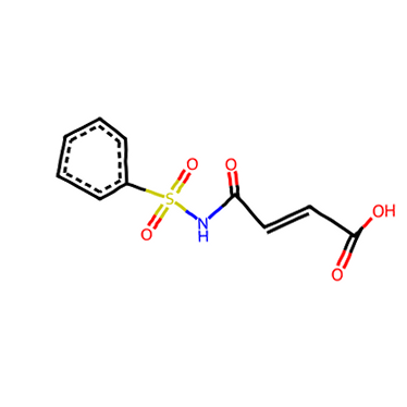 O=C(O)/C=C/C(=O)NS(=O)(=O)c1ccccc1